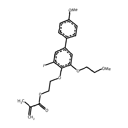 C=C(C)C(=O)OCCOc1c(F)cc(-c2ccc(OC)cc2)cc1OCCOC